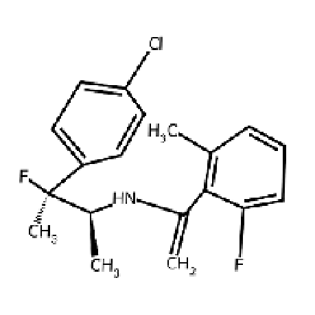 C=C(N[C@@H](C)[C@@](C)(F)c1ccc(Cl)cc1)c1c(C)cccc1F